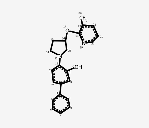 Oc1cc(-c2ccccc2)ccc1N1CCC(Oc2ncccc2C(F)(F)F)C1